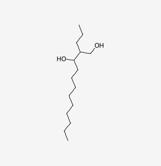 CCCCCCCCCC(O)C(CO)CCC